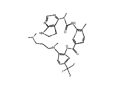 Cc1ccc(C(=O)Nc2cc(C(F)(F)F)ccc2N(C)CCCN(C)C)cc1NC(=O)N(C)c1ncnc2c1CCN2